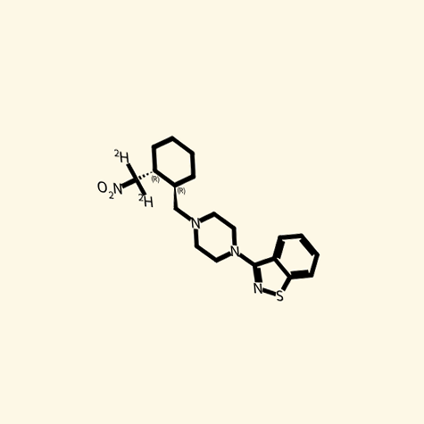 [2H]C([2H])([C@@H]1CCCC[C@H]1CN1CCN(c2nsc3ccccc23)CC1)[N+](=O)[O-]